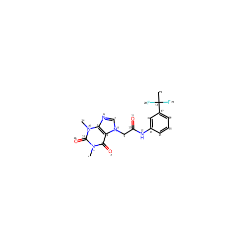 Cn1c(=O)c2c(ncn2CC(=O)Nc2cccc(C(C)(F)F)c2)n(C)c1=O